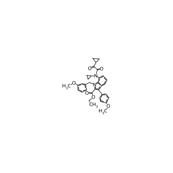 CCOC(=O)c1c(-c2ccc(OC)cc2)c2cccc(N(C(=O)C(=O)C3CC3)C3CC3)c2n1Cc1cccc(OC)c1